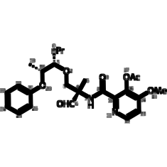 CCC[C@H](OC[C@@](C)(C=O)NC(=O)c1nccc(OC)c1OC(C)=O)[C@@H](C)Oc1ccccc1